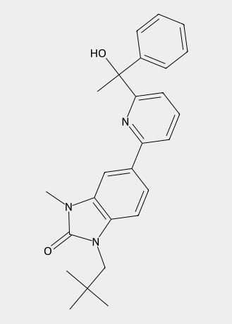 Cn1c(=O)n(CC(C)(C)C)c2ccc(-c3cccc(C(C)(O)c4ccccc4)n3)cc21